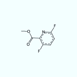 COC(=O)c1nc(F)ccc1F